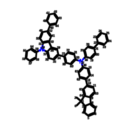 CC1(C)c2ccccc2-c2ccc(-c3ccc(N(c4ccc(-c5ccccc5)cc4)c4ccc(-c5ccc6c(c5)c5cc(-c7ccccc7)ccc5n6-c5ccccc5)cc4)cc3)cc21